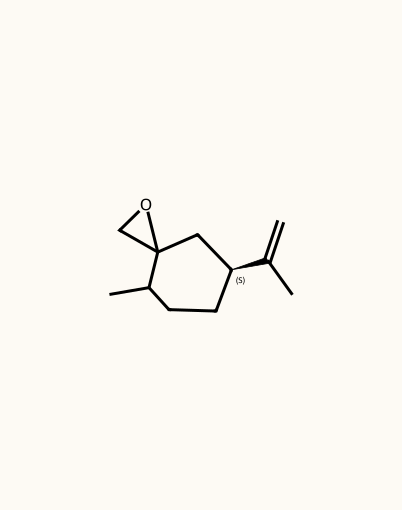 C=C(C)[C@H]1CCC(C)C2(CO2)C1